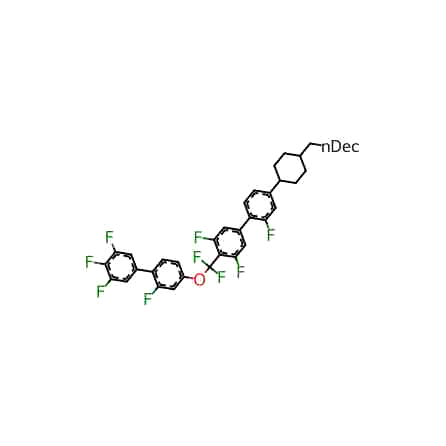 CCCCCCCCCCCC1CCC(c2ccc(-c3cc(F)c(C(F)(F)Oc4ccc(-c5cc(F)c(F)c(F)c5)c(F)c4)c(F)c3)c(F)c2)CC1